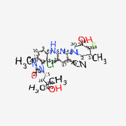 C[C@H]1CN(c2nc(Nc3ccc4c(c3)n(CCC(C)(C)O)c(=O)n4C)c(Cl)cc2C#N)C[C@@H](O)[C@H]1F